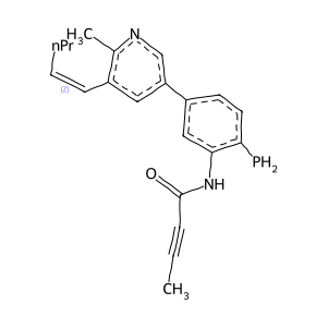 CC#CC(=O)Nc1cc(-c2cnc(C)c(/C=C\CCC)c2)ccc1P